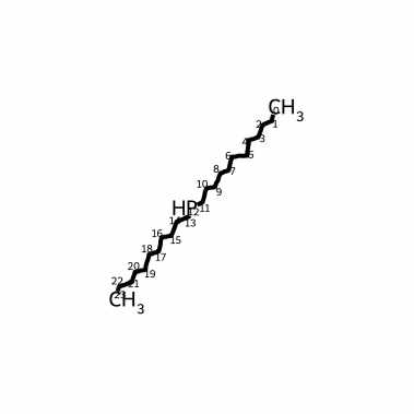 CCCCCCCCCCCCPCCCCCCCCCCC